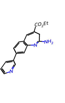 CCOC(=O)C1=Cc2ccc(-c3cccnc3)cc2N=C(N)C1